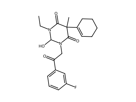 CCN1C(=O)C(C)(C2=CCCCC2)C(=O)N(CC(=O)c2cccc(F)c2)C1O